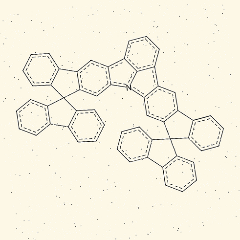 c1ccc2c(c1)-c1ccccc1C21c2ccccc2-c2cc3c4cccc5c6cc7c(cc6n(c3cc21)c45)C1(c2ccccc2-c2ccccc21)c1ccccc1-7